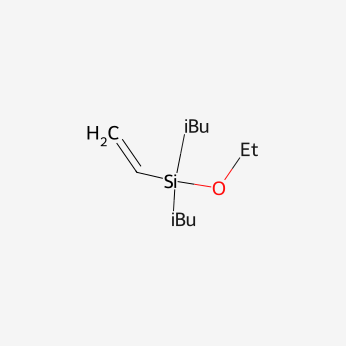 C=C[Si](OCC)(C(C)CC)C(C)CC